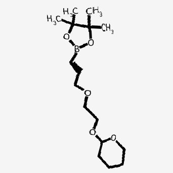 CC1(C)OB(/C=C/COCCOC2CCCCO2)OC1(C)C